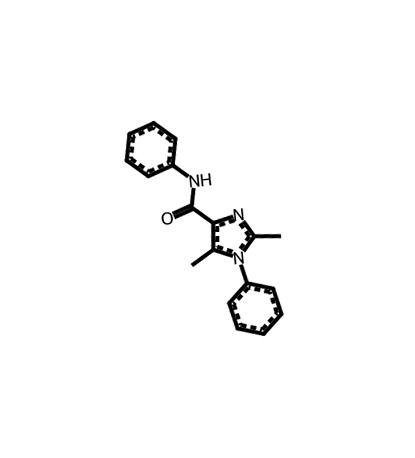 Cc1nc(C(=O)Nc2ccccc2)c(C)n1-c1ccccc1